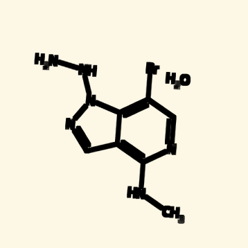 CNc1ncc(Br)c2c1cnn2NN.O